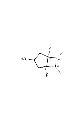 C[C@@H]1[C@H](C)[C@H]2CC(O)C[C@@H]12